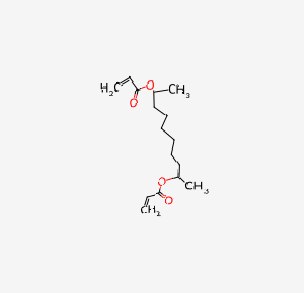 C=CC(=O)OC(C)CCCCCCC(C)OC(=O)C=C